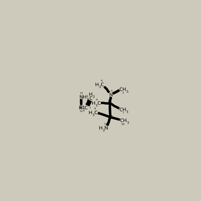 C=C.CN(C)C(C)(C)C(C)(C)N.[CH2]CN